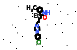 CCC1(CCCCN2CCN(c3ccc(Cl)cc3)CC2)C(=O)Nc2ccc(C)cc21